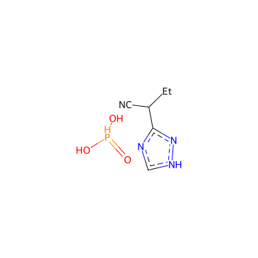 CCC(C#N)c1nc[nH]n1.O=[PH](O)O